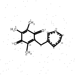 CC1=C(C)C(=O)C(Cc2cccnc2)=C(C)C1=O